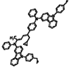 C/C(=C\C=C(/CC1C=C1)c1ccc(N(c2ccccc2)c2ccc3c(c2)c2ccccc2n3-c2ccc(F)cc2)cc1)N(c1ccccc1)c1ccc2c(c1)c1ccccc1n2-c1ccc(CF)cc1